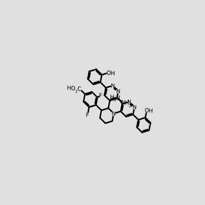 Nc1nnc(-c2ccccc2O)cc1C1C(c2c(F)cc(C(=O)O)cc2F)CCCN1c1cc(-c2ccccc2O)nnc1N